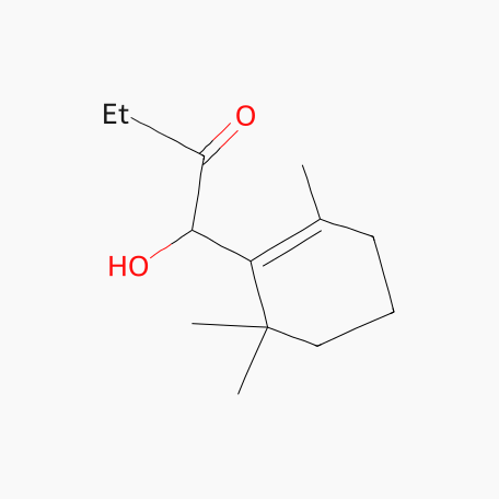 CCC(=O)C(O)C1=C(C)CCCC1(C)C